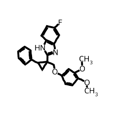 COc1ccc(OCC2(c3nc4cc(F)ccc4[nH]3)CC2c2ccccc2)cc1OC